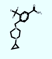 NC(=O)c1ccc(CN2CCN(C3CC3)CC2)c(C(F)(F)F)c1